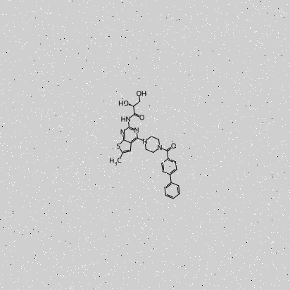 Cc1cc2c(N3CCN(C(=O)c4ccc(-c5ccccc5)cc4)CC3)nc(NC(=O)[C@@H](O)CO)nc2s1